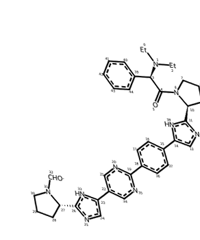 CCN(CC)[C@@H](C(=O)N1CCC[C@H]1c1ncc(-c2ccc(-c3ncc(-c4cnc([C@@H]5CCCN5[C]=O)[nH]4)cn3)cc2)[nH]1)c1ccccc1